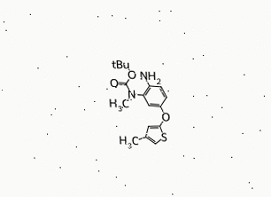 Cc1csc(Oc2ccc(N)c(N(C)C(=O)OC(C)(C)C)c2)c1